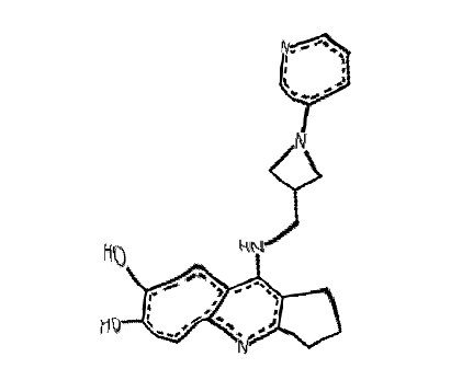 Oc1cc2nc3c(c(NCC4CN(c5cccnc5)C4)c2cc1O)CCC3